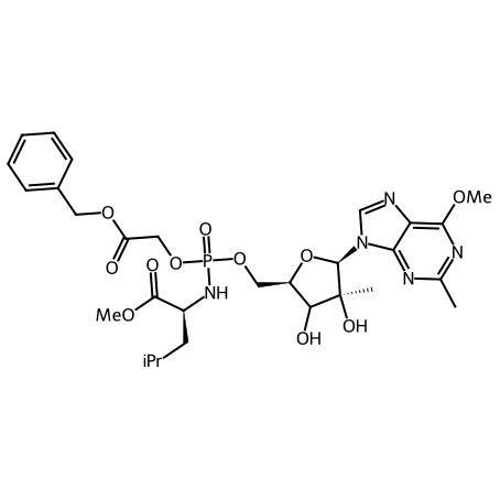 COC(=O)[C@H](CC(C)C)NP(=O)(OCC(=O)OCc1ccccc1)OC[C@H]1O[C@@H](n2cnc3c(OC)nc(C)nc32)[C@@](C)(O)C1O